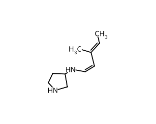 C/C=C(C)/C=C\NC1CCNC1